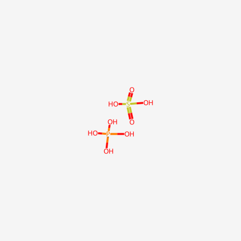 O=S(=O)(O)O.O[P](O)(O)O